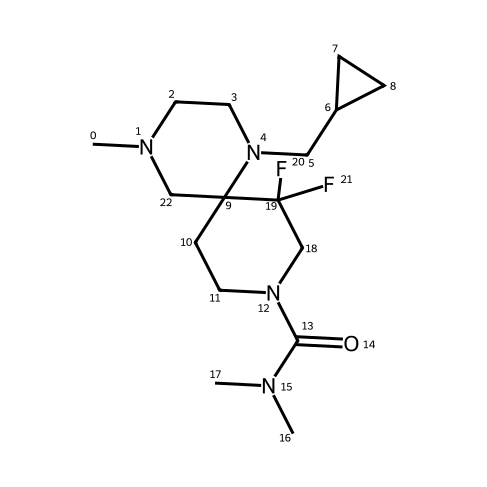 CN1CCN(CC2CC2)C2(CCN(C(=O)N(C)C)CC2(F)F)C1